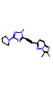 [CH]c1c(C)nc2ccc(C#Cc3nc(N4CCCC4)nn3C)nn12